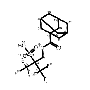 O=C(OCC(C(F)(F)F)(C(F)(F)F)S(=O)(=O)O)C12CC3CC(CC(C3)C1)C2